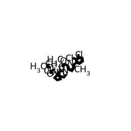 COC(=O)c1nc(-c2cccc(Cl)c2Cl)c(C)cc1N1CCC2(CCC[C@H]2NC(=O)OC(C)(C)C)CC1